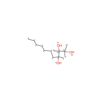 CCCCCCCC(C)(O)C(C)(O)C(C)(C)O